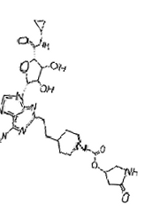 Nc1nc(CCC2CCN(C(=O)OC3CNC(=O)C3)CC2)nc2c1ncn2[C@@H]1O[C@H](C(=O)NC2CC2)C(O)C1O